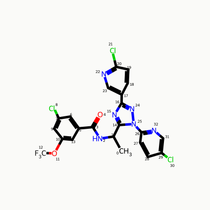 CC(NC(=O)c1cc(Cl)cc(OC(F)(F)F)c1)c1nc(-c2ccc(Cl)nc2)nn1-c1ccc(Cl)cn1